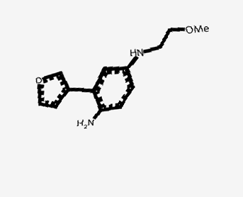 COCCNc1ccc(N)c(-c2ccoc2)c1